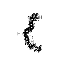 C=CC(NC(=O)CCCN1C(=O)C=CC1=O)C(=O)Nc1ccc(C[N+](C)(C)C2CCN(Cc3c(O)ccc4nc5c(cc34)Cn3c-5cc4c(c3=O)COC(=O)[C@]4(O)CC)CC2)cc1